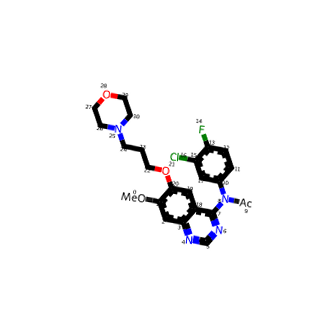 COc1cc2ncnc(N(C(C)=O)c3ccc(F)c(Cl)c3)c2cc1OCCCN1CCOCC1